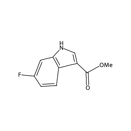 COC(=O)c1c[nH]c2cc(F)ccc12